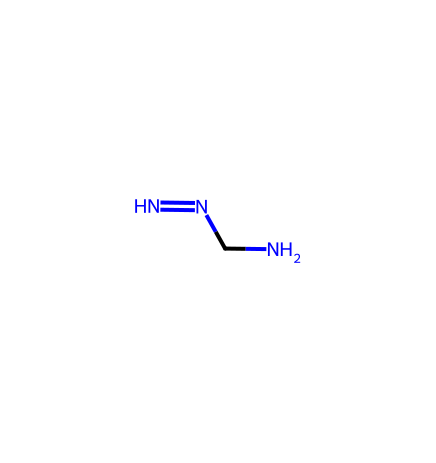 N=NCN